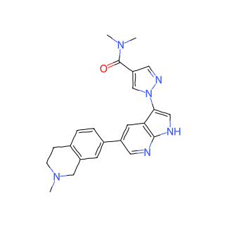 CN1CCc2ccc(-c3cnc4[nH]cc(-n5cc(C(=O)N(C)C)cn5)c4c3)cc2C1